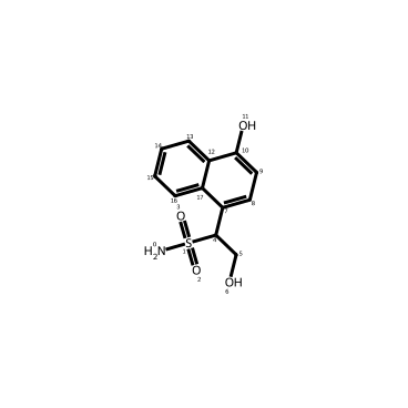 NS(=O)(=O)C(CO)c1ccc(O)c2ccccc12